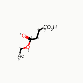 CC(=O)COC(=O)CCC(=O)O